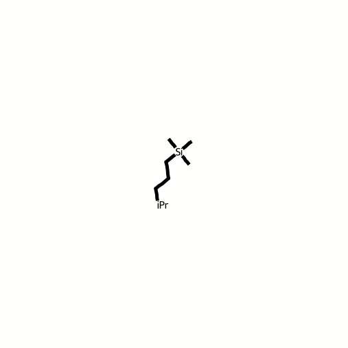 [CH2]C(C)CCC[Si](C)(C)C